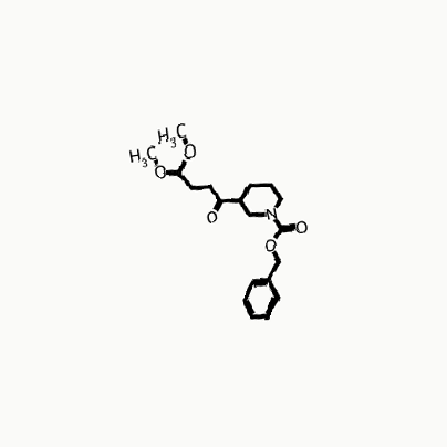 COC(CCC(=O)C1CCCN(C(=O)OCc2ccccc2)C1)OC